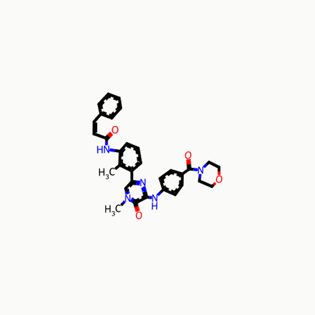 Cc1c(NC(=O)/C=C\c2ccccc2)cccc1-c1cn(C)c(=O)c(Nc2ccc(C(=O)N3CCOCC3)cc2)n1